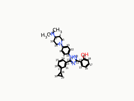 CN(C)C1CCN(c2ccc(-n3nc(-c4ccccc4O)nc3-c3cccc(C4CC4)c3)cc2)CC1